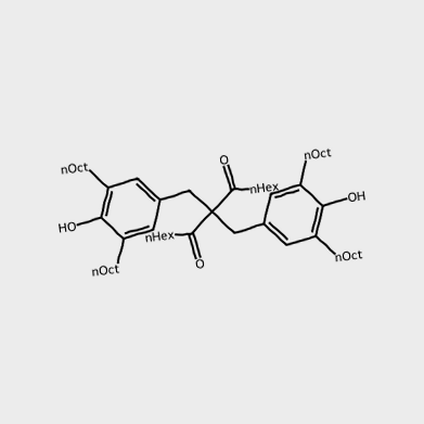 CCCCCCCCc1cc(CC(Cc2cc(CCCCCCCC)c(O)c(CCCCCCCC)c2)(C(=O)CCCCCC)C(=O)CCCCCC)cc(CCCCCCCC)c1O